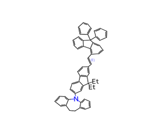 CCC1(CC)c2cc(/C=C/c3cccc4c3-c3ccccc3C4(c3ccccc3)c3ccccc3)ccc2-c2ccc(N3c4ccccc4CCc4ccccc43)cc21